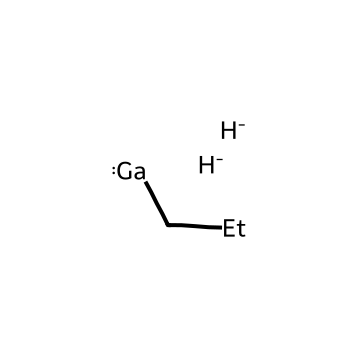 CC[CH2][Ga].[H-].[H-]